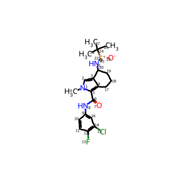 Cn1cc2c(c1C(=O)Nc1ccc(F)c(Cl)c1)CCCC2N[S@@+]([O-])C(C)(C)C